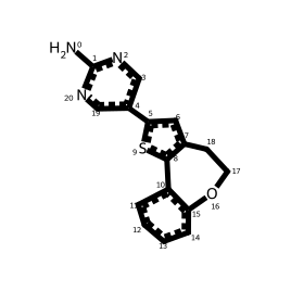 Nc1ncc(-c2cc3c(s2)-c2ccccc2OCC3)cn1